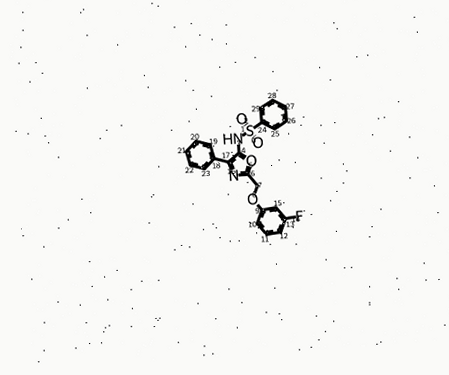 O=S(=O)(Nc1oc(COc2cccc(F)c2)nc1-c1ccccc1)c1ccccc1